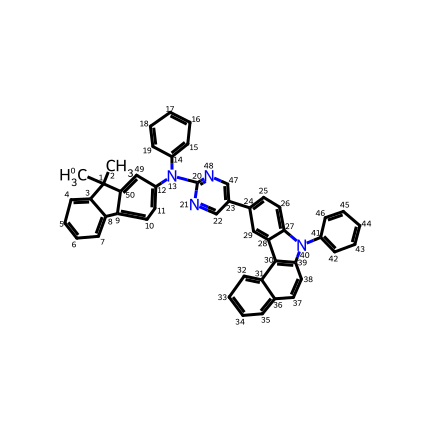 CC1(C)c2ccccc2-c2ccc(N(c3ccccc3)c3ncc(-c4ccc5c(c4)c4c6ccccc6ccc4n5-c4ccccc4)cn3)cc21